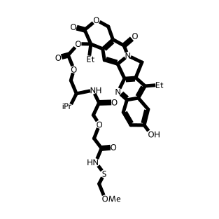 CCc1c2c(nc3ccc(O)cc13)-c1cc3c(c(=O)n1C2)COC(=O)C3(CC)OC(=O)OCC(NC(=O)COCC(=O)NSCOC)C(C)C